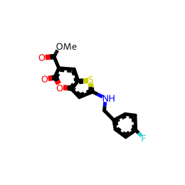 COC(=O)c1cc2sc(NCc3ccc(F)cc3)cc2oc1=O